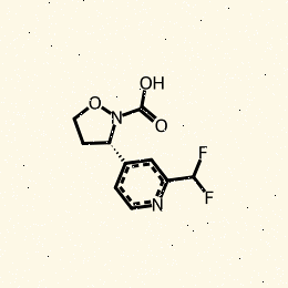 O=C(O)N1OCC[C@H]1c1ccnc(C(F)F)c1